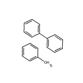 Oc1ccccc1.[Ti].c1ccc(-c2ccccc2)cc1